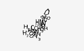 CC(C)NC(=NCCC[C@H](NC(=O)c1cccn(C(c2ccccc2)c2ccccc2)c1=O)C(=O)O)NC(C)C